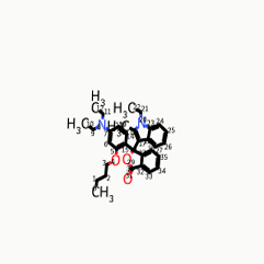 CCCCOc1cc(N(CC)CC)ccc1C1(c2c(C)n(CC)c3ccccc23)OC(=O)c2ccccc21